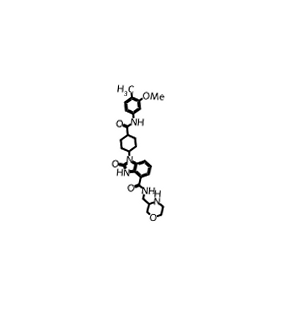 COc1cc(NC(=O)C2CCC(n3c(=O)[nH]c4c(C(=O)NCC5COCCN5)cccc43)CC2)ccc1C